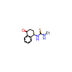 CCNC(=S)NC1CCC(=O)c2ccccc21